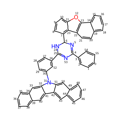 c1ccc(C2=NC(c3cccc4oc5c6ccccc6ccc5c34)NC(c3cccc(-n4c5cc6ccccc6cc5c5cc6ccccc6cc54)c3)=N2)cc1